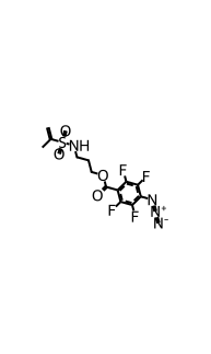 C=C(C)S(=O)(=O)NCCCOC(=O)c1c(F)c(F)c(N=[N+]=[N-])c(F)c1F